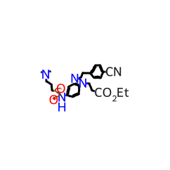 CCOC(=O)CCn1c(Cc2ccc(C#N)cc2)nc2cc(NS(=O)(=O)CCCN(C)C)ccc21